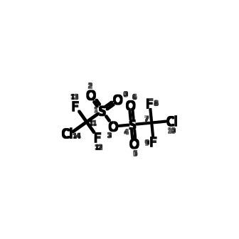 O=S(=O)(OS(=O)(=O)C(F)(F)Cl)C(F)(F)Cl